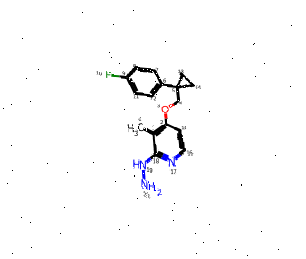 Cc1c(OCC2(c3ccc(F)cc3)CC2)ccnc1NN